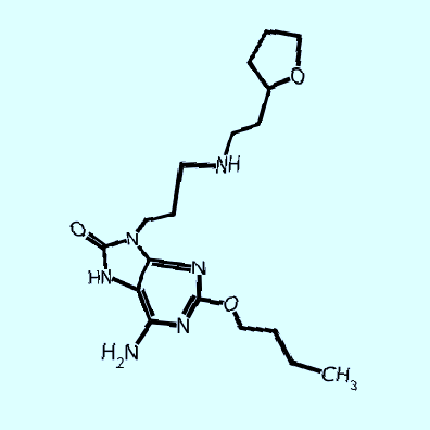 CCCCOc1nc(N)c2[nH]c(=O)n(CCCNCCC3CCCO3)c2n1